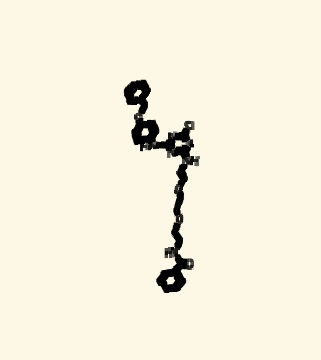 O=C(NCCOCCOCCNc1nc(Cl)nc(Nc2ccc(OCc3ccccc3)cc2)n1)c1ccccc1